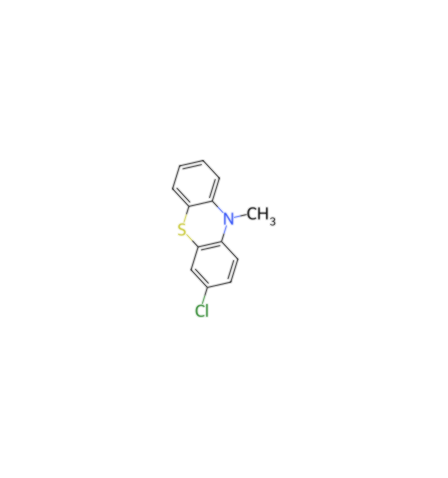 CN1c2ccccc2Sc2cc(Cl)ccc21